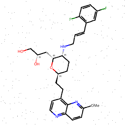 COc1ccc2nccc(CC[C@@H]3CC[C@@H](NCC=Cc4cc(F)ccc4F)[C@@H](C[C@H](O)CO)O3)c2n1